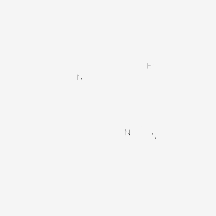 Brc1ccc(-c2ncc3ccccc3n2)cc1-c1ccc2c3ccccc3n(-c3ccccc3)c2c1